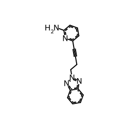 Nc1cccc(C#CCCn2nc3ccccc3n2)n1